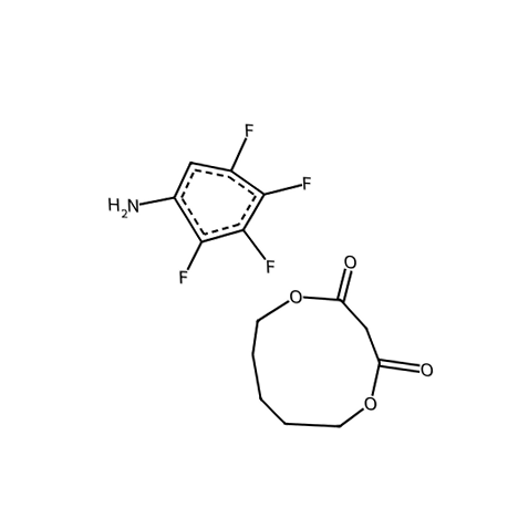 Nc1cc(F)c(F)c(F)c1F.O=C1CC(=O)OCCCCCO1